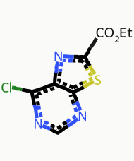 CCOC(=O)c1nc2c(Cl)ncnc2s1